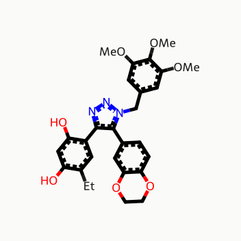 CCc1cc(-c2nnn(Cc3cc(OC)c(OC)c(OC)c3)c2-c2ccc3c(c2)OCCO3)c(O)cc1O